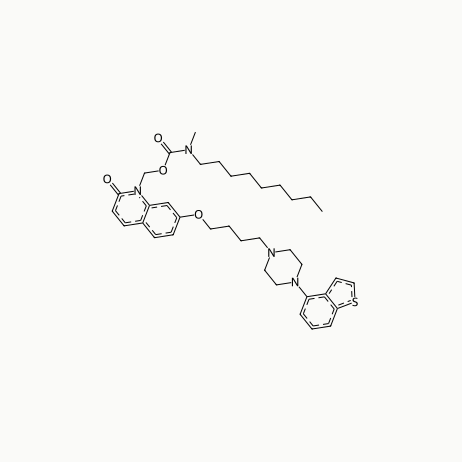 CCCCCCCCCN(C)C(=O)OCn1c(=O)ccc2ccc(OCCCCN3CCN(c4cccc5sccc45)CC3)cc21